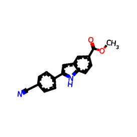 COC(=O)c1ccc2[nH]c(-c3ccc(C#N)cc3)cc2c1